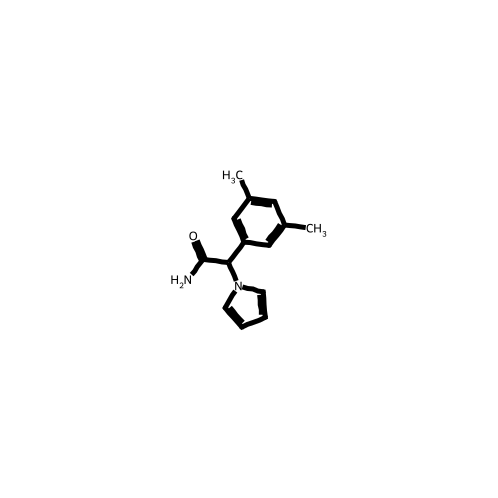 Cc1cc(C)cc(C(C(N)=O)n2cccc2)c1